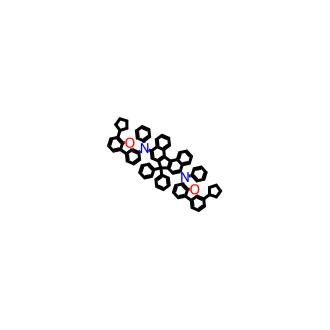 c1ccc(N(c2cc3c(c4ccccc24)-c2c(cc(N(c4ccccc4)c4cccc5c4oc4c(C6CCCC6)cccc45)c4ccccc24)C3(c2ccccc2)c2ccccc2)c2cccc3c2oc2c(C4CCCC4)cccc23)cc1